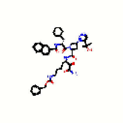 CC(C)(O)c1cnnn1[C@H]1C[C@@H](C(=O)NC(CCCCNC(=O)OCc2ccccc2)C(=O)C(N)=O)N(C(=O)[C@@H](CC2CCCCC2)NC(=O)c2ccc3ccccc3c2)C1